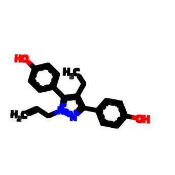 C=CCn1nc(-c2ccc(O)cc2)c(CC)c1-c1ccc(O)cc1